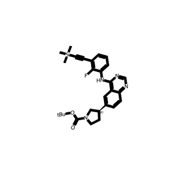 CC(C)(C)OC(=O)N1CC[C@H](c2ccc3ncnc(Nc4cccc(C#C[Si](C)(C)C)c4F)c3c2)C1